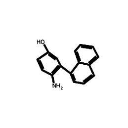 Nc1ccc(O)cc1-c1cccc2ccccc12